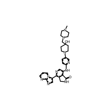 CN1CCN(CC2(O)CCN(c3ccc(Nc4cnc(-c5cnc6ncccn56)c5c4C(=O)NC5)nc3)CC2)CC1